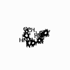 C[S+]([O-])N1CCC(Nc2cnc3ccc(-c4cncc(NS(=O)(=O)c5ccccc5)c4)cc3n2)CC1